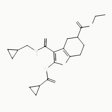 CCOC(=O)C1CCc2sc(NC(=O)C3CC3)c(C(=O)NCC3CC3)c2C1